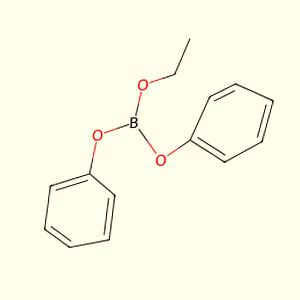 CCOB(Oc1ccccc1)Oc1ccccc1